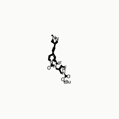 Cn1cc(C#Cc2ccn3c(=O)n(CC(CNC(=O)OC(C)(C)C)=C(F)F)nc3c2)cn1